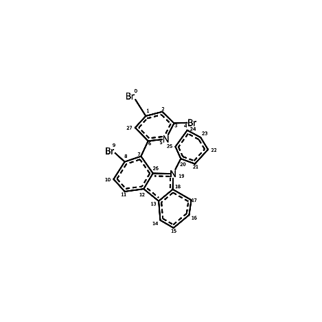 Brc1cc(Br)nc(-c2c(Br)ccc3c4ccccc4n(-c4ccccc4)c23)c1